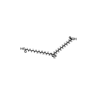 O=C(O)CCCCCCCCCCCCCCCCCN1CCN=C1CCCCCCCCCCCCCCCCC(=O)O